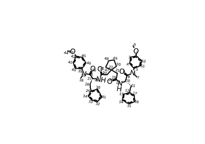 COc1ccc(N(C)C(=O)[C@H](Cc2ccccc2)NC(=O)CC2(CC(=O)N[C@@H](Cc3ccccc3)C(=O)N(C)c3ccc(OC)cc3)CCCC2)cc1